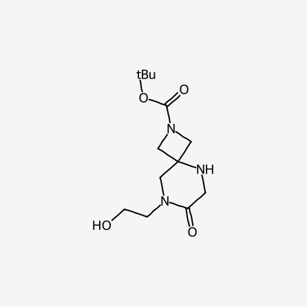 CC(C)(C)OC(=O)N1CC2(CN(CCO)C(=O)CN2)C1